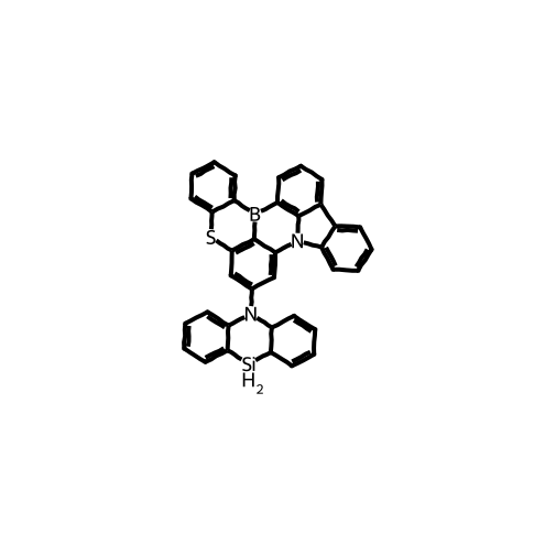 C1=CC2[SiH2]c3ccccc3N(c3cc4c5c(c3)-n3c6ccccc6c6cccc(c63)B5c3ccccc3S4)C2C=C1